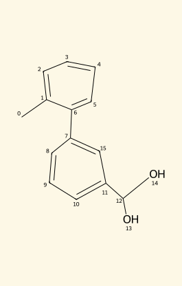 Cc1ccccc1-c1cccc(C(O)O)c1